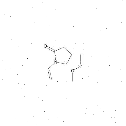 C=CN1CCCC1=O.C=COC